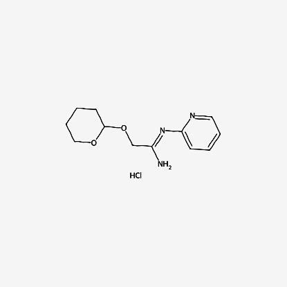 Cl.NC(COC1CCCCO1)=Nc1ccccn1